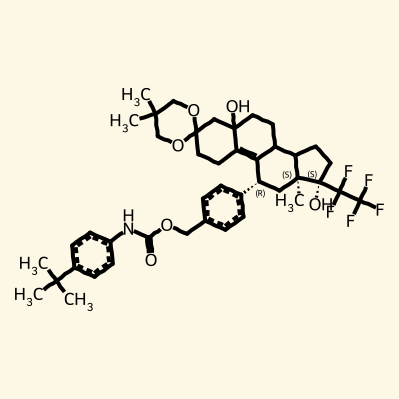 CC1(C)COC2(CCC3=C4C(CCC3(O)C2)C2CC[C@@](O)(C(F)(F)C(F)(F)F)[C@@]2(C)C[C@@H]4c2ccc(COC(=O)Nc3ccc(C(C)(C)C)cc3)cc2)OC1